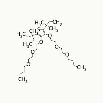 CCCCOCCOCCOc1c(C(C)(C)CC)sc(C(C)(CC)CC)c1OCCOCCOCCCC